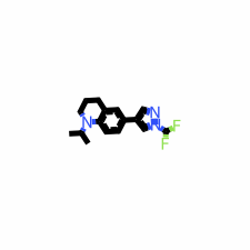 CC(C)N1CCCc2cc(-c3cnn(C(F)F)c3)ccc21